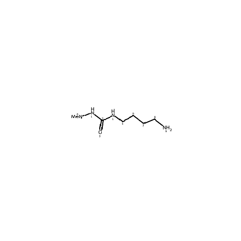 CNNC(=O)NCCCCN